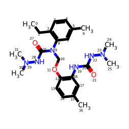 CCc1ccc(C)cc1N(COc1ccc(C)cc1NC(=O)NN(C)C)C(=O)NN(C)C